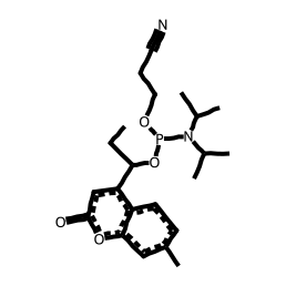 CCC(OP(OCCC#N)N(C(C)C)C(C)C)c1cc(=O)oc2cc(C)ccc12